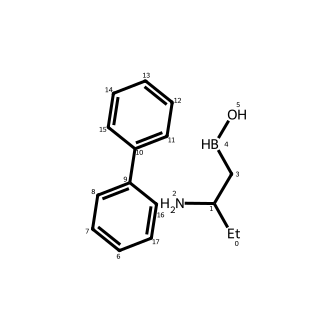 CCC(N)CBO.c1ccc(-c2ccccc2)cc1